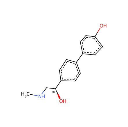 CNC[C@H](O)c1ccc(-c2ccc(O)cc2)cc1